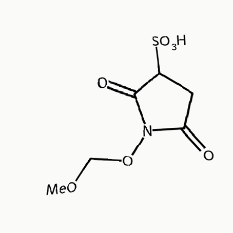 COCON1C(=O)CC(S(=O)(=O)O)C1=O